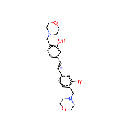 Oc1cc(/C=C/c2ccc(CN3CCOCC3)c(O)c2)ccc1CN1CCOCC1